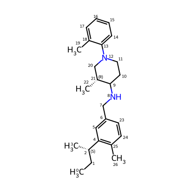 CC[C@H](C)c1cc(CNC2CCN(c3ccccc3C)C[C@H]2C)ccc1C